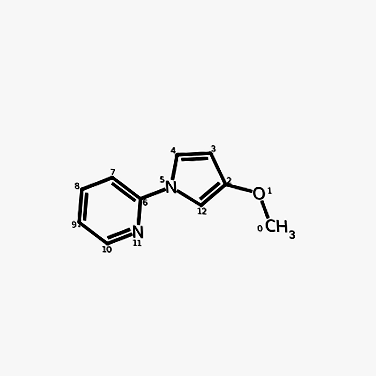 COc1ccn(-c2cc[c]cn2)c1